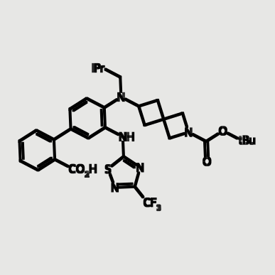 CC(C)CN(c1ccc(-c2ccccc2C(=O)O)cc1Nc1nc(C(F)(F)F)ns1)C1CC2(C1)CN(C(=O)OC(C)(C)C)C2